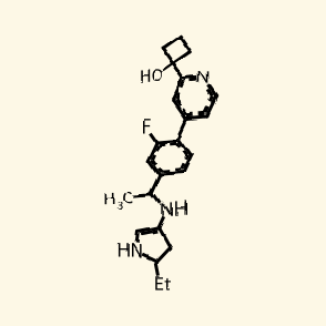 CCC1CC(NC(C)c2ccc(-c3ccnc(C4(O)CCC4)c3)c(F)c2)=CN1